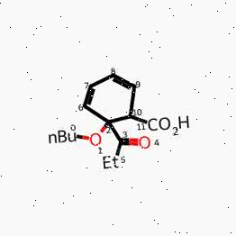 CCCCOC1(C(=O)CC)C=CC=CC1C(=O)O